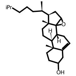 CC(C)CCC[C@@H](C)[C@H]1CC2OC23[C@@H]2CC=C4CC(O)CC[C@]4(C)[C@H]2CC[C@]13C